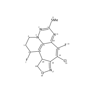 CSC1=NN2CCC(F)C3=C2C(=N1)C(F)=C(Cl)C1=NOCC13